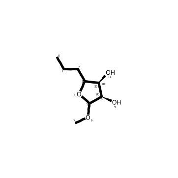 CCCC1OC(OC)[C@H](O)[C@@H]1O